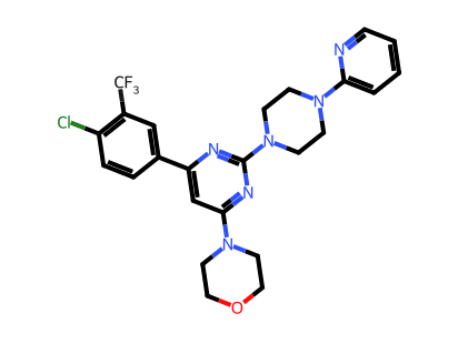 FC(F)(F)c1cc(-c2cc(N3CCOCC3)nc(N3CCN(c4ccccn4)CC3)n2)ccc1Cl